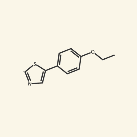 CCOc1ccc(-c2cn[c]s2)cc1